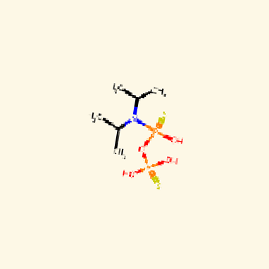 CC(C)N(C(C)C)P(O)(=S)OP(O)(O)=S